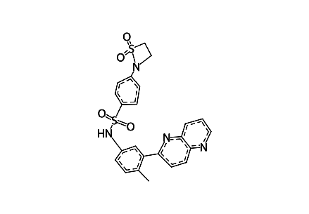 Cc1ccc(NS(=O)(=O)c2ccc(N3CCS3(=O)=O)cc2)cc1-c1ccc2ncccc2n1